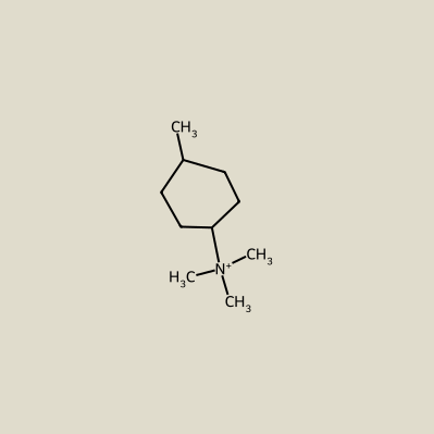 CC1CCC([N+](C)(C)C)CC1